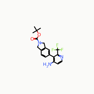 CC(C)(C)OC(=O)N1Cc2ccc(-c3c(N)ccnc3C(F)(F)F)cc2C1